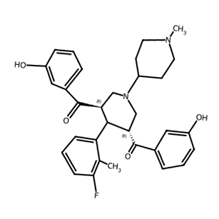 Cc1c(F)cccc1C1[C@@H](C(=O)c2cccc(O)c2)CN(C2CCN(C)CC2)C[C@@H]1C(=O)c1cccc(O)c1